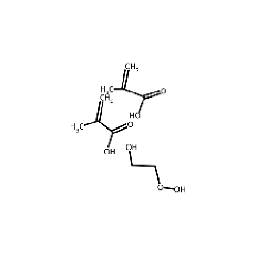 C=C(C)C(=O)O.C=C(C)C(=O)O.OCCOO